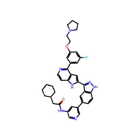 O=C(CC1CCCCC1)Nc1cncc(-c2ccc3[nH]nc(-c4cc5c(-c6cc(F)cc(OCCN7CCCC7)c6)nccc5[nH]4)c3c2)c1